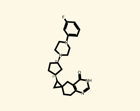 O=c1[nH]cnc2c1CC1(CC2)CC1[C@H]1CC[C@@H](N2CCN(c3cccc(F)c3)CC2)C1